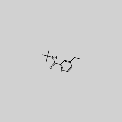 CCc1ccnc(C(=O)NC(C)(C)C)c1